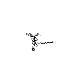 CCCCCCCCCCOCOC(=O)C1=C(CSc2cnns2)CS[C@H]2[C@H](NC(=O)/C(=N\OC)c3csc(N)n3)C(=O)N12